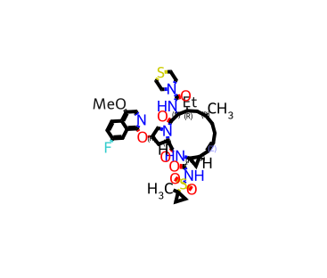 CC[C@@H]1C[C@H](C)CC/C=C\[C@@H]2C[C@@]2(C(=O)NS(=O)(=O)C2(C)CC2)NC(=O)[C@@H]2C[C@@H](Oc3ncc(OC)c4ccc(F)cc34)CN2C(=O)[C@H]1NC(=O)N1CCSCC1